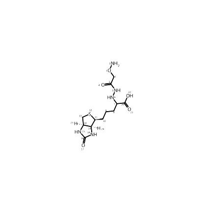 NOCC(=O)NNC(CCC[C@@H]1SC[C@@H]2NC(=O)N[C@@H]21)C(=O)O